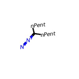 CCCCCC(CCCCC)=[N+]=[N-]